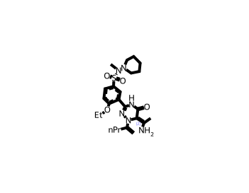 C=C(CCC)N1N=C(c2cc(S(=O)(=O)N(C)N3CCCCC3)ccc2OCC)NC(=O)/C1=C(\C)N